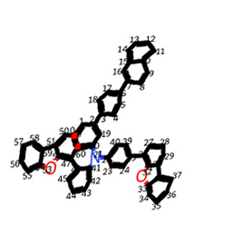 c1cc(-c2ccc(-c3ccc4ccccc4c3)cc2)cc(N(c2ccc(-c3cccc4c3oc3ccccc34)cc2)c2ccccc2-c2cccc3c2oc2ccccc23)c1